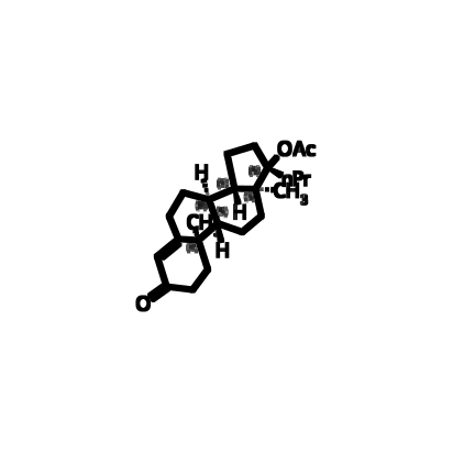 CCC[C@]1(OC(C)=O)CC[C@H]2[C@@H]3CCC4=CC(=O)CC[C@]4(C)[C@H]3CC[C@@]21C